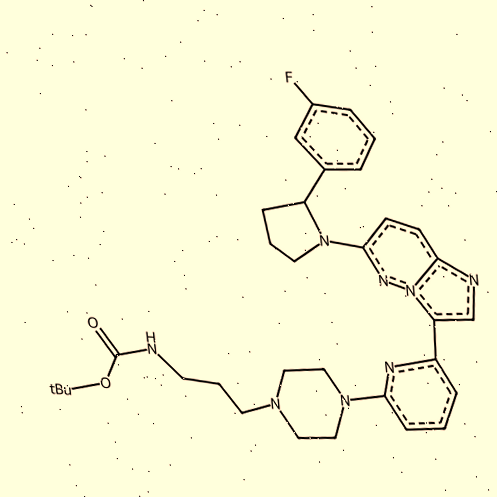 CC(C)(C)OC(=O)NCCCN1CCN(c2cccc(-c3cnc4ccc(N5CCCC5c5cccc(F)c5)nn34)n2)CC1